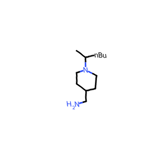 CCCCC(C)N1CCC(CN)CC1